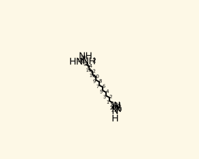 CCCCCCCCCCCCCCCCNC(=N)N.c1c[nH]nn1